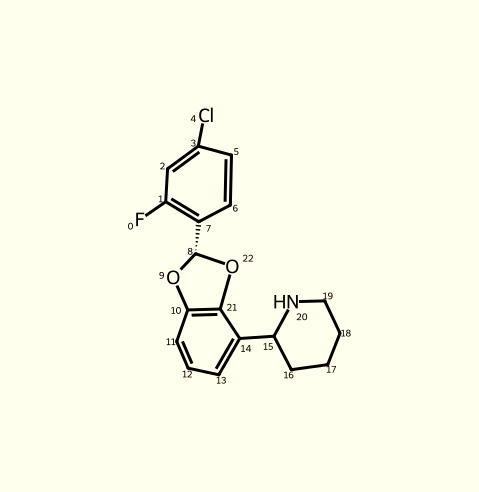 Fc1cc(Cl)ccc1[C@H]1Oc2cccc(C3CCCCN3)c2O1